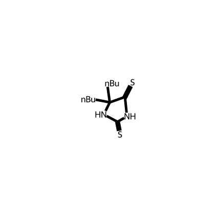 CCCCC1(CCCC)NC(=S)NC1=S